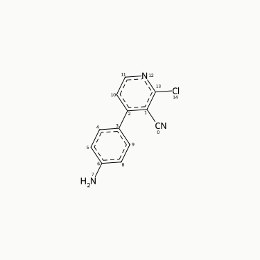 N#Cc1c(-c2ccc(N)cc2)ccnc1Cl